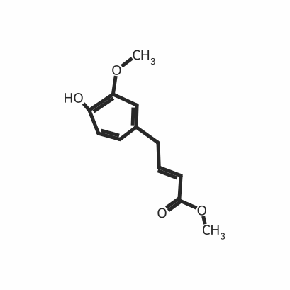 COC(=O)C=CCc1ccc(O)c(OC)c1